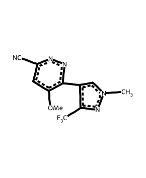 COc1cc(C#N)nnc1-c1cn(C)nc1C(F)(F)F